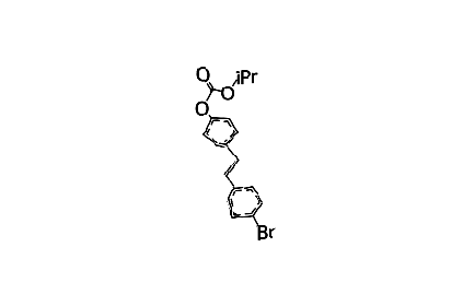 CC(C)OC(=O)Oc1ccc(C=Cc2ccc(Br)cc2)cc1